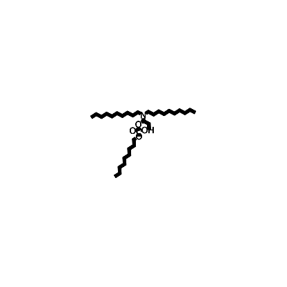 CCCCCCCCCCN(CCCCCCCCCC)C(CC)OP(=O)(O)OCCCCCCCCC